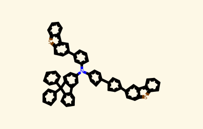 c1ccc(C2(c3ccccc3)c3ccccc3-c3cc(N(c4ccc(-c5ccc(-c6ccc7sc8ccccc8c7c6)cc5)cc4)c4cccc(-c5ccc6sc7ccccc7c6c5)c4)ccc32)cc1